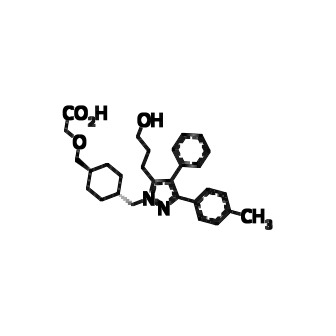 Cc1ccc(-c2nn(C[C@H]3CC[C@H](COCC(=O)O)CC3)c(CCCO)c2-c2ccccc2)cc1